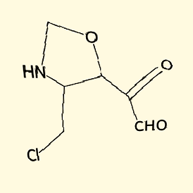 O=CC(=O)C1OCNC1CCl